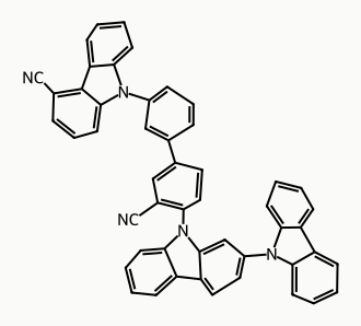 N#Cc1cc(-c2cccc(-n3c4ccccc4c4c(C#N)cccc43)c2)ccc1-n1c2ccccc2c2ccc(-n3c4ccccc4c4ccccc43)cc21